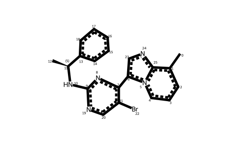 Cc1cccn2c(-c3nc(N[C@@H](C)c4ccccc4)ncc3Br)cnc12